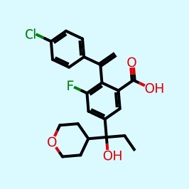 C=C(c1ccc(Cl)cc1)c1c(F)cc(C(O)(CC)C2CCOCC2)cc1C(=O)O